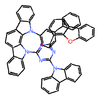 c1ccc(-c2cccc(-n3c4ccccc4c4ccc5c6ccccc6n(-c6nc(-c7cccc8c7oc7ccccc78)nc(-n7c8ccccc8c8ccccc87)n6)c5c43)c2)cc1